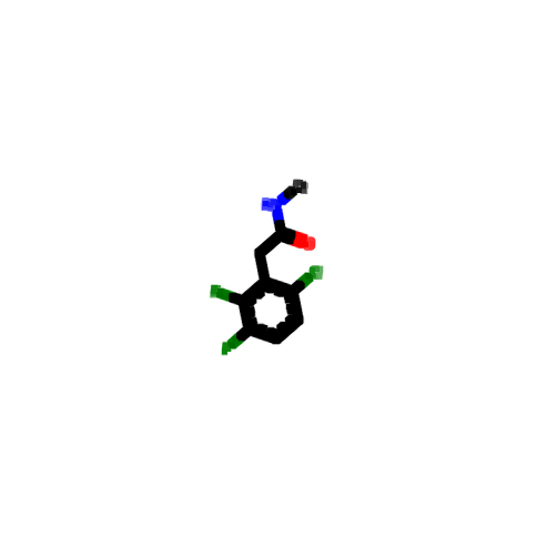 CCNC(=O)Cc1c(Cl)ccc(F)c1F